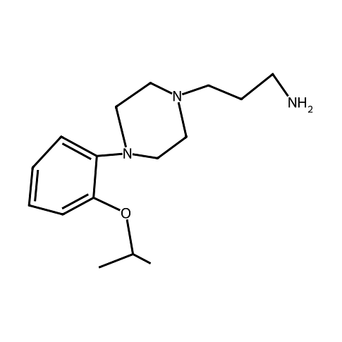 CC(C)Oc1ccccc1N1CCN(CCCN)CC1